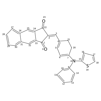 O=C1C(=CC2=CC=C(N(c3ccccc3)c3cccs3)CC2)C(=O)c2cc3ccccc3cc21